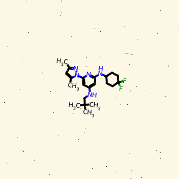 Cc1cc(C)n(-c2cc(NCC(C)(C)C)cc(NC3CCC(F)(F)CC3)n2)n1